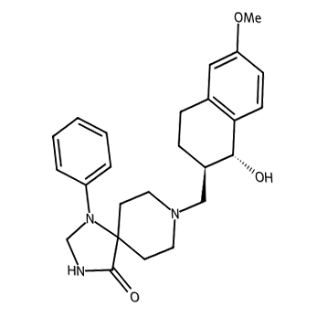 COc1ccc2c(c1)CC[C@H](CN1CCC3(CC1)C(=O)NCN3c1ccccc1)[C@H]2O